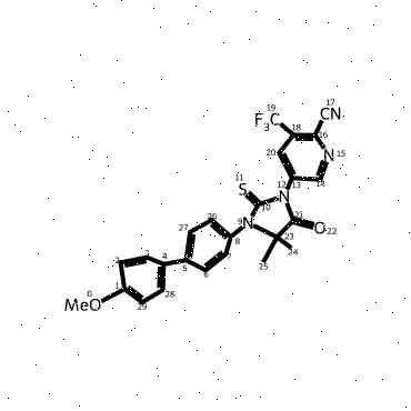 COc1ccc(-c2ccc(N3C(=S)N(c4cnc(C#N)c(C(F)(F)F)c4)C(=O)C3(C)C)cc2)cc1